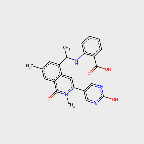 Cc1cc(C(C)Nc2ccccc2C(=O)O)c2cc(-c3cnc(O)nc3)n(C)c(=O)c2c1